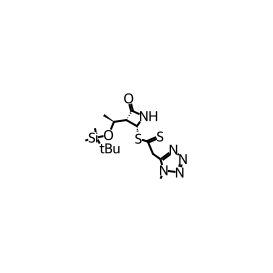 C[C@H](O[Si](C)(C)C(C)(C)C)[C@@H]1C(=O)N[C@@H]1SC(=S)Cc1nnnn1C